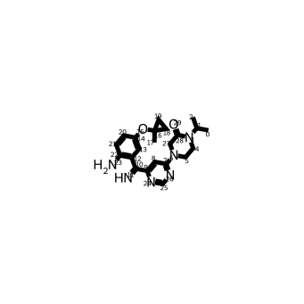 CC(C)N1CCN(c2cc(C(=N)c3cc(OC4(C)CC4)ccc3N)ncn2)CC1=O